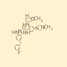 COC[C@H](C)Nc1cc(N2CCN(C)CC2)ccc1C(=O)Nc1n[nH]c2ccc(Cc3cccc(F)c3)cc12